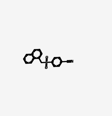 N#Cc1ccc(S(=O)(=O)Cc2cccc3ccccc23)cc1